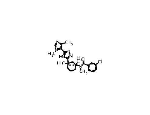 Cc1ncn(C)c1-c1nnc([C@@]2(C)CCC[C@@](C)(N(C)C(=O)c3cccc(Cl)c3)C2)[nH]1